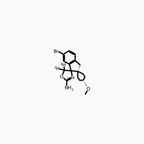 [2H]C1([2H])OC(N)=NC12c1cc(Br)ccc1C[C@]21CC[C@@H](OC)CC1